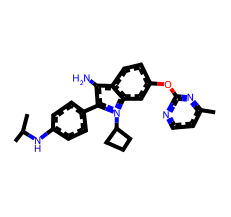 Cc1ccnc(Oc2ccc3c(N)c(-c4ccc(NC(C)C)cc4)n(C4CCC4)c3c2)n1